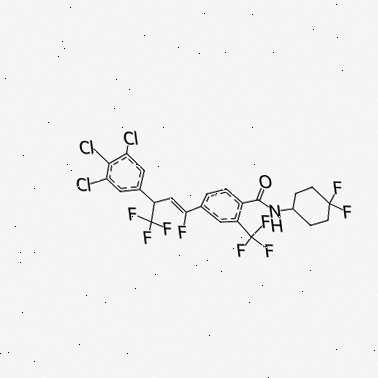 O=C(NC1CCC(F)(F)CC1)c1ccc(/C(F)=C/C(c2cc(Cl)c(Cl)c(Cl)c2)C(F)(F)F)cc1C(F)(F)F